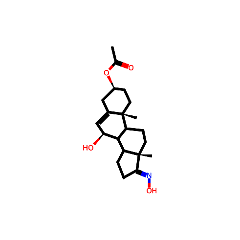 CC(=O)O[C@H]1CC[C@@]2(C)C(=C[C@H](O)C3C2CC[C@]2(C)/C(=N/O)CCC32)C1